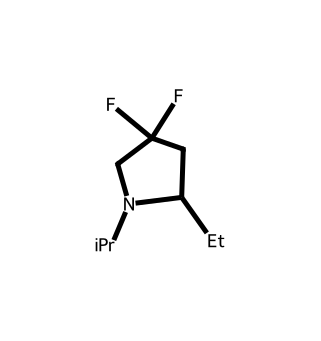 CCC1CC(F)(F)CN1C(C)C